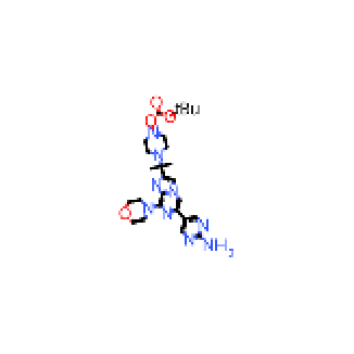 CC(C)(C)OC(=O)ON1CCN(C(C)(C)c2cn3cc(-c4cnc(N)nc4)nc(N4CCOCC4)c3n2)CC1